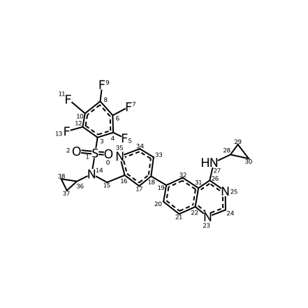 O=S(=O)(c1c(F)c(F)c(F)c(F)c1F)N(Cc1cc(-c2ccc3ncnc(NC4CC4)c3c2)ccn1)C1CC1